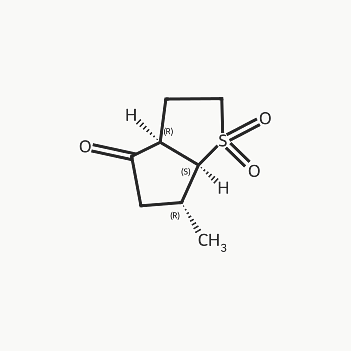 C[C@@H]1CC(=O)[C@H]2CCS(=O)(=O)[C@@H]12